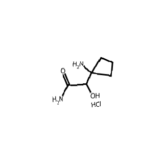 Cl.NC(=O)C(O)C1(N)CCC1